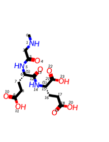 CNCC(=O)N[C@@H](CCC(=O)O)C(=O)N[C@@H](CCC(=O)O)C(=O)O